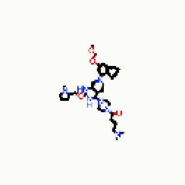 COCOc1cc(N2C=C3NC(OCC4CCCN4C)NC(N4CCN(C(=O)/C=C/CN(C)C)CC4)C3CC2)c2ccccc2c1